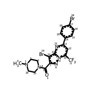 CN1CCN(C(=O)c2nn3c(C(F)(F)F)cc(-c4ccc(Br)cc4)nc3c2Br)CC1